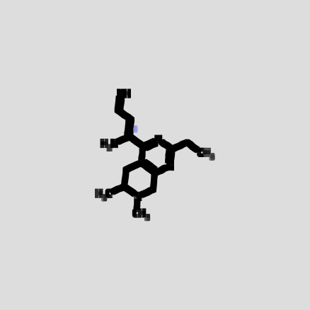 CCc1nc2c(c(/C(N)=C/C=N)n1)CC(C)N(C)C2